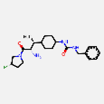 C[C@@H](C1CCC(NC(=O)NCc2ccccc2)CC1)[C@H](N)C(=O)N1CC[C@H](F)C1